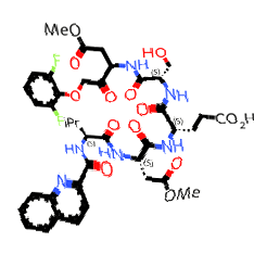 COC(=O)CC(NC(=O)[C@H](CO)NC(=O)[C@H](CCC(=O)O)NC(=O)[C@H](CC(=O)OC)NC(=O)[C@@H](NC(=O)c1ccc2ccccc2n1)C(C)C)C(=O)COc1c(F)cccc1F